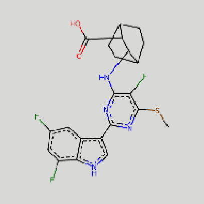 CSc1nc(-c2c[nH]c3c(F)cc(F)cc23)nc(NC2C3CCC(CC3)C2C(=O)O)c1F